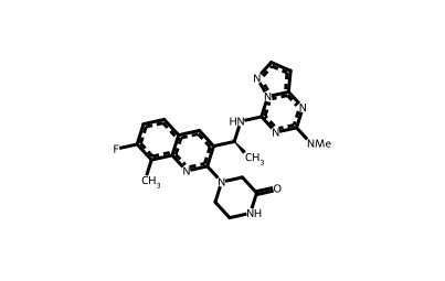 CNc1nc(N[C@@H](C)c2cc3ccc(F)c(C)c3nc2N2CCNC(=O)C2)n2nccc2n1